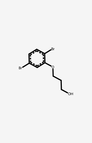 OCCCOc1cc(Br)ccc1Br